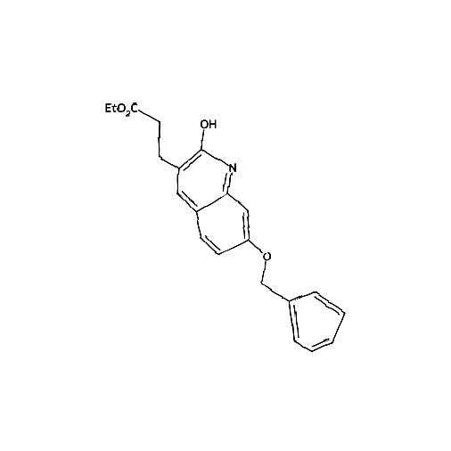 CCOC(=O)CCc1cc2ccc(OCc3ccccc3)cc2nc1O